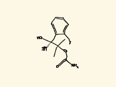 CCC[C@](O)(c1ccccc1I)C(C)(C)OC(N)=O